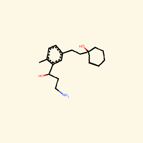 Cc1ccc(CCC2(O)CCCCC2)cc1C(O)CCN